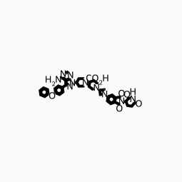 Nc1ncnc2c1c(-c1ccc(Oc3ccccc3)cc1)nn2C1CCN(C2(C(=O)O)CCN(C3CN(c4ccc5c(c4)C(=O)N(C4CCC(=O)NC4=O)C5=O)C3)CC2)CC1